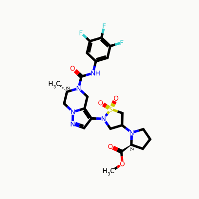 COC(=O)[C@@H]1CCCN1C1CN(c2cnn3c2CN(C(=O)Nc2cc(F)c(F)c(F)c2)[C@@H](C)C3)S(=O)(=O)C1